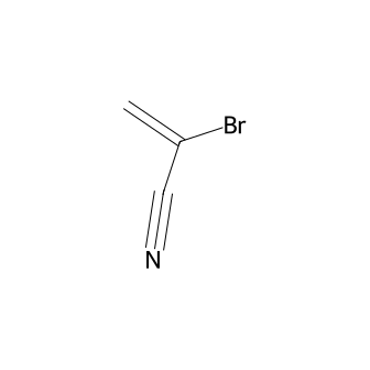 C=C(Br)C#N